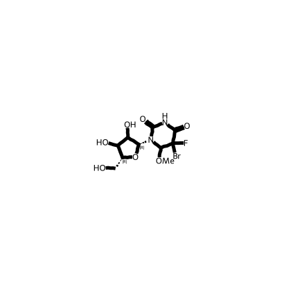 COC1N([C@@H]2O[C@H](CO)C(O)C2O)C(=O)NC(=O)C1(F)Br